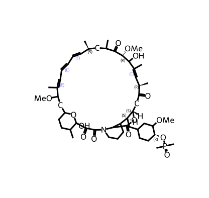 COC1CC2CCC(C)C(O)(O2)C(=O)C(=O)N2CCCC3C2C(=O)O[C@@H](CC(=O)[C@H](C)/C=C(\C)C(O)[C@@H](OC)C(=O)C(C)C[C@H](C)/C=C/C=C/C=C/1C)[C@H]3CC1CC[C@@H](OP(C)(C)=O)C(OC)C1